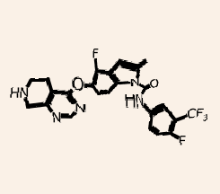 Cc1cc2c(F)c(Oc3ncnc4c3CCNC4)ccc2n1C(=O)Nc1ccc(F)c(C(F)(F)F)c1